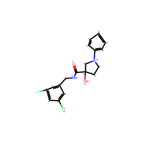 O=C(NCc1cc(F)cc(Cl)c1)C1(O)CCN(c2ccccc2)C1